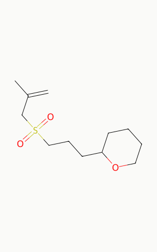 C=C(C)CS(=O)(=O)CCCC1CCCCO1